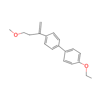 C=C(CCOC)c1ccc(-c2ccc(OCC)cc2)cc1